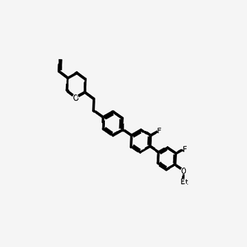 C=CC1CCC(CCc2ccc(-c3ccc(-c4ccc(OCC)c(F)c4)c(F)c3)cc2)OC1